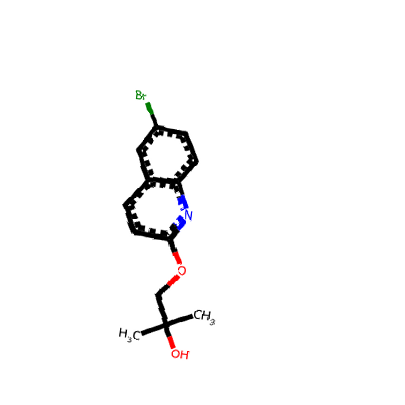 CC(C)(O)COc1ccc2cc(Br)ccc2n1